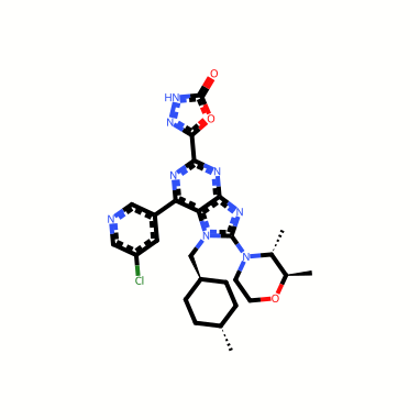 C[C@@H]1[C@@H](C)OCCN1c1nc2nc(-c3n[nH]c(=O)o3)nc(-c3cncc(Cl)c3)c2n1C[C@H]1CC[C@H](C)CC1